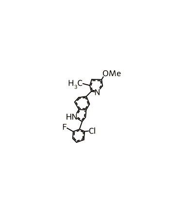 COc1cnc(-c2ccc3[nH]c(-c4c(F)cccc4Cl)cc3c2)c(C)c1